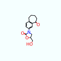 O=C1CCCCc2ccc(N3CC(CO)OC3=O)cc21